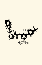 CN(C)c1nc(CNC(=O)[C@@H]2CCCN2S(=O)(=O)c2cc3ccccc3o2)cc(-c2ccc(C(F)(F)F)cc2O)n1